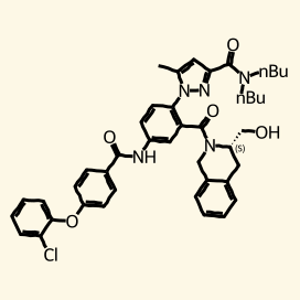 CCCCN(CCCC)C(=O)c1cc(C)n(-c2ccc(NC(=O)c3ccc(Oc4ccccc4Cl)cc3)cc2C(=O)N2Cc3ccccc3C[C@H]2CO)n1